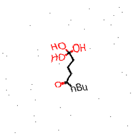 CCCCC(=O)CCCC(O)(O)O